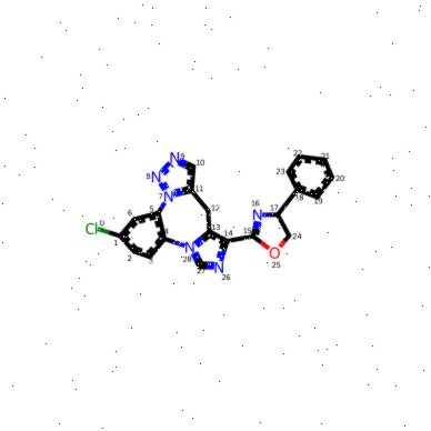 Clc1ccc2c(c1)-n1nncc1Cc1c(C3=NC(c4ccccc4)CO3)ncn1-2